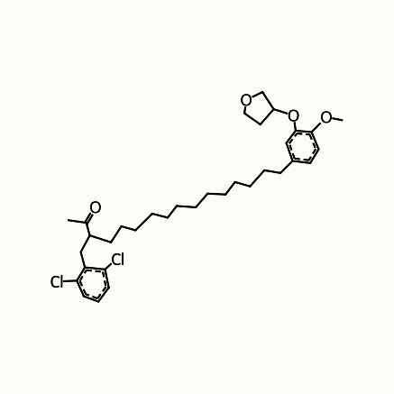 COc1ccc(CCCCCCCCCCCCCC(Cc2c(Cl)cccc2Cl)C(C)=O)cc1OC1CCOC1